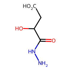 NNC(=O)C(O)CC(=O)O